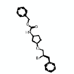 O=C(NC1CCC(OC/C(Br)=C/c2ccccc2)C1)OCc1ccccc1